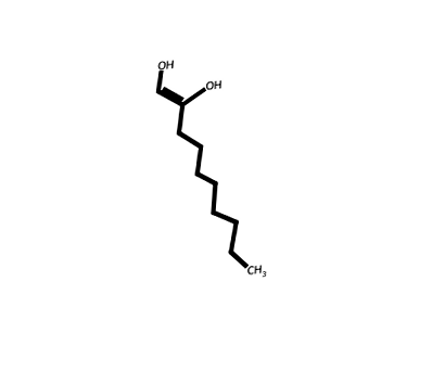 CCCCCCCCC(O)=CO